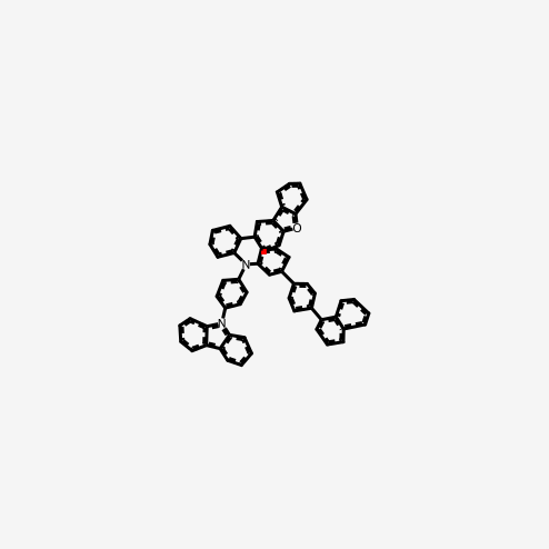 c1cc(-c2ccc(-c3cccc4ccccc34)cc2)cc(N(c2ccc(-n3c4ccccc4c4ccccc43)cc2)c2ccccc2-c2ccc3oc4ccccc4c3c2)c1